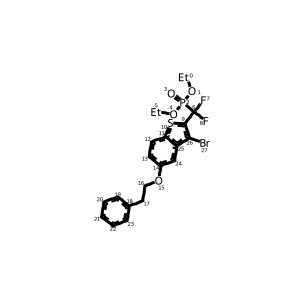 CCOP(=O)(OCC)C(F)(F)c1sc2ccc(OCCc3ccccc3)cc2c1Br